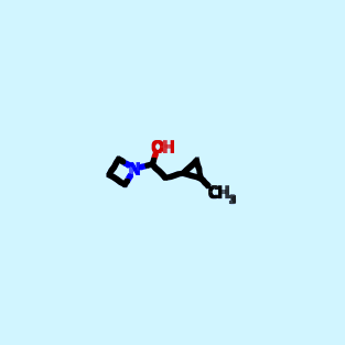 CC1CC1CC(O)N1CCC1